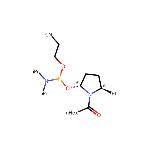 [C-]#[N+]CCOP(O[C@@H]1CC[C@@H](CC)N1C(=O)CCCCCC)N(C(C)C)C(C)C